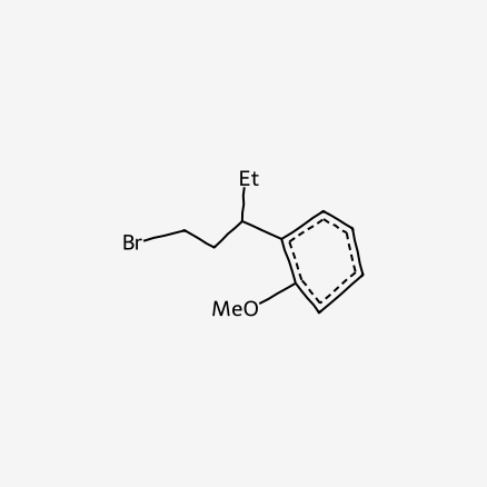 CCC(CCBr)c1ccccc1OC